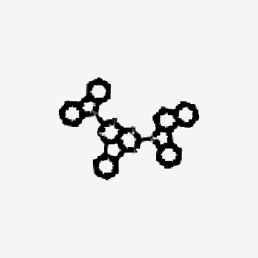 c1ccc2c(c1)-c1nc(-n3c4ccccc4c4ccccc43)nc3nc(-n4c5ccccc5c5c6ccccc6ccc54)nc-2c13